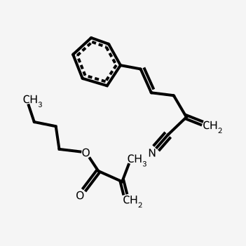 C=C(C#N)CC=Cc1ccccc1.C=C(C)C(=O)OCCCC